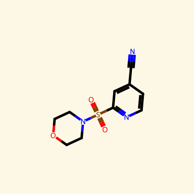 N#Cc1ccnc(S(=O)(=O)N2CCOCC2)c1